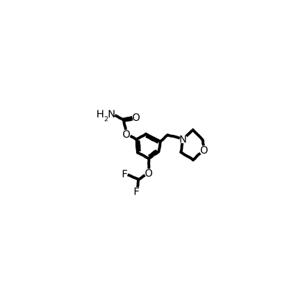 NC(=O)Oc1cc(CN2CCOCC2)cc(OC(F)F)c1